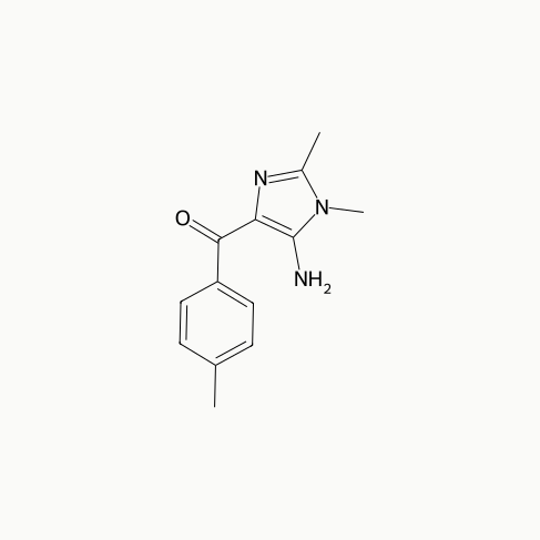 Cc1ccc(C(=O)c2nc(C)n(C)c2N)cc1